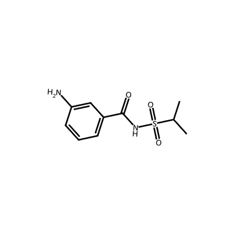 CC(C)S(=O)(=O)NC(=O)c1cccc(N)c1